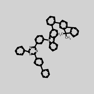 CC1(C)c2ccccc2-c2ccc(-c3ccccc3-c3ccc4c5ccccc5n(-c5cccc(-c6nc(-c7ccccc7)nc(-c7ccc(-c8ccccc8)cc7)n6)c5)c4c3)cc21